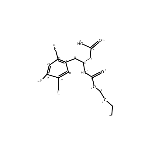 CCCCOC(=O)N[C@@H](CC(=O)O)Cc1cc(F)c(F)cc1F